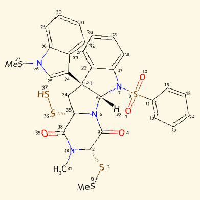 CSS[C@H]1C(=O)N2[C@H]3N(S(=O)(=O)c4ccccc4)c4ccccc4[C@@]3(c3cn(SC)c4ccccc34)C[C@]2(SS)C(=O)N1C